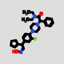 CCN(CC)C(=O)C(c1ccccc1)N1CCN(c2ccc(C(/C=N\O)C3CCCC3)cc2F)CC1